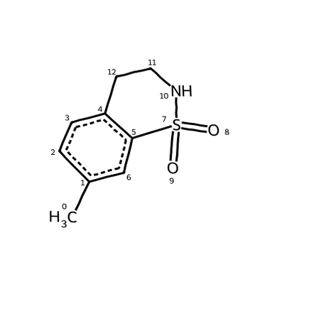 Cc1ccc2c(c1)S(=O)(=O)NCC2